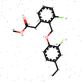 CCc1ccc(OCc2c(F)cccc2CC(=O)OC)c(F)c1